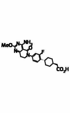 COc1nc(N)c2c(n1)CCN(c1ccc([C@H]3CC[C@H](CC(=O)O)CC3)c(F)c1)C2=O